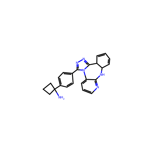 NC1(c2ccc(-c3nnc4n3-c3cccnc3NC3C=CC=CC43)cc2)CCC1